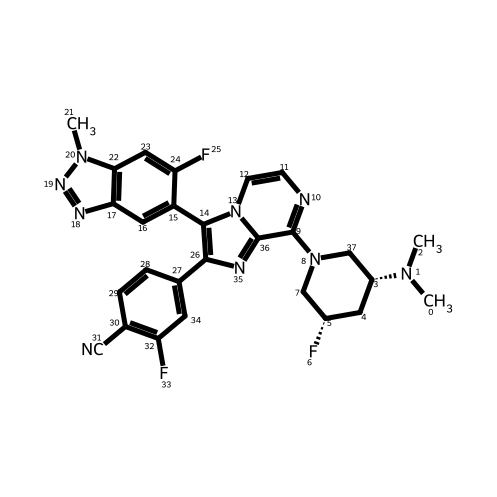 CN(C)[C@@H]1C[C@H](F)CN(c2nccn3c(-c4cc5nnn(C)c5cc4F)c(-c4ccc(C#N)c(F)c4)nc23)C1